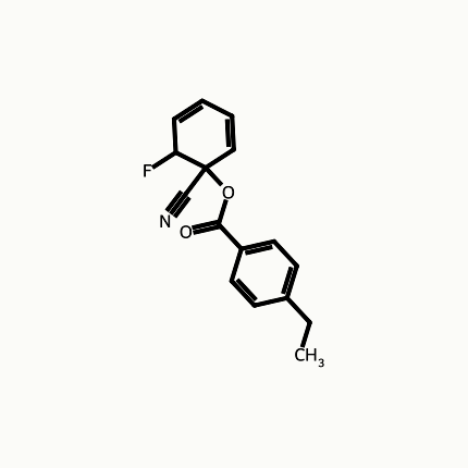 CCc1ccc(C(=O)OC2(C#N)C=CC=CC2F)cc1